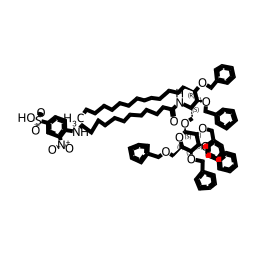 CCCCCCCCCCCCCC[C@@H](OCc1ccccc1)[C@@H](OCc1ccccc1)[C@H](CO[C@H]1O[C@H](COCc2ccccc2)[C@H](OCc2ccccc2)[C@H](OCc2ccccc2)[C@H]1OCc1ccccc1)NC(=O)CCCCCCCCCCCNc1ccc(S(=O)(=O)O)cc1[N+](=O)[O-]